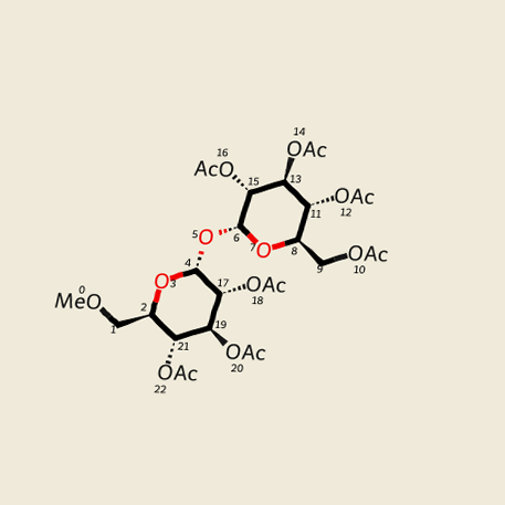 COC[C@H]1O[C@H](O[C@H]2O[C@H](COC(C)=O)[C@@H](OC(C)=O)[C@H](OC(C)=O)[C@H]2OC(C)=O)[C@H](OC(C)=O)[C@@H](OC(C)=O)[C@@H]1OC(C)=O